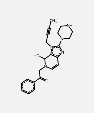 CC#CCn1c(N2CCNCC2)nc2c1C(O)N(CC(=O)c1ccccc1)C=C2